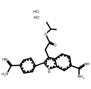 CC(C)OC(=O)Cc1c(-c2ccc(C(=N)N)cc2)[nH]c2cc(C(=N)N)ccc12.Cl.Cl